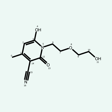 Cc1cc(O)n(CCOCCO)c(=O)c1C#N